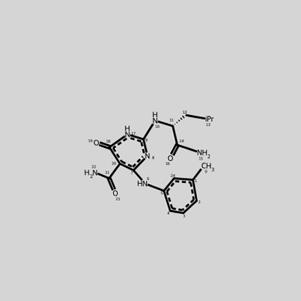 Cc1cccc(Nc2nc(N[C@H](CC(C)C)C(N)=O)[nH]c(=O)c2C(N)=O)c1